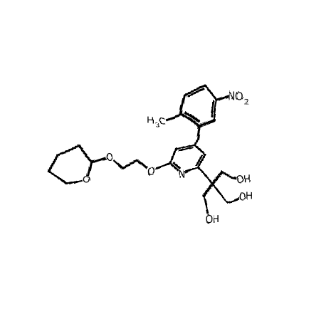 Cc1ccc([N+](=O)[O-])cc1-c1cc(OCCOC2CCCCO2)nc(C(CO)(CO)CO)c1